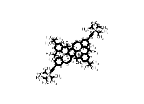 CC(C)[Si](C#Cc1ccc2c(c1)C=Cc1cc3c(cc1B2c1c(C(C)(C)C)cc(C(C)(C)C)cc1C(C)(C)C)C=Cc1cc(C#C[Si](C(C)C)(C(C)C)C(C)C)ccc1B3c1c(C(C)(C)C)cc(C(C)(C)C)cc1C(C)(C)C)(C(C)C)C(C)C